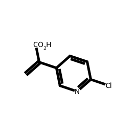 C=C(C(=O)O)c1ccc(Cl)nc1